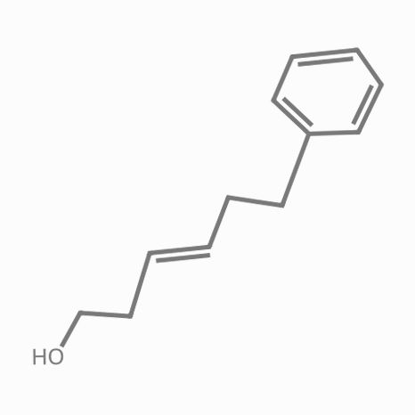 OCCC=CCCc1ccccc1